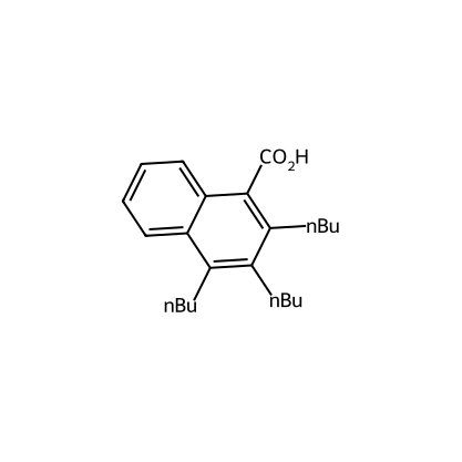 CCCCc1c(CCCC)c(C(=O)O)c2ccccc2c1CCCC